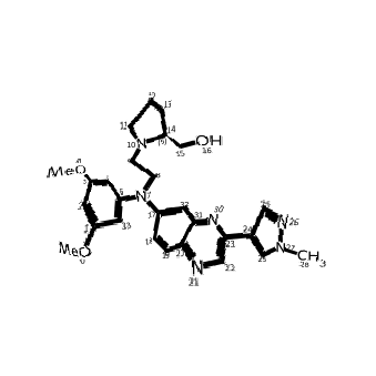 COc1cc(OC)cc(N(CCN2CCC[C@H]2CO)c2ccc3ncc(-c4cnn(C)c4)nc3c2)c1